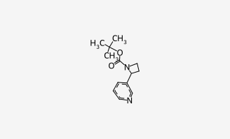 CC(C)(C)OC(=O)N1CCC1c1cccnc1